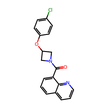 O=C(c1cccc2cccnc12)N1CC(Oc2ccc(Cl)cc2)C1